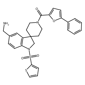 NCc1ccc2c(c1)C1(CCN(C(=O)c3ccc(-c4ccccc4)o3)CC1)CN2S(=O)(=O)c1cccs1